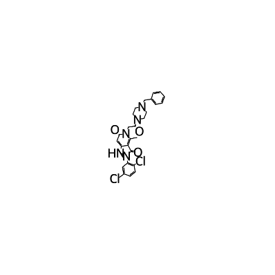 Cc1c2c(=O)n(-c3cc(Cl)ccc3Cl)[nH]c2cc(=O)n1CC(=O)N1CCN(Cc2ccccc2)CC1